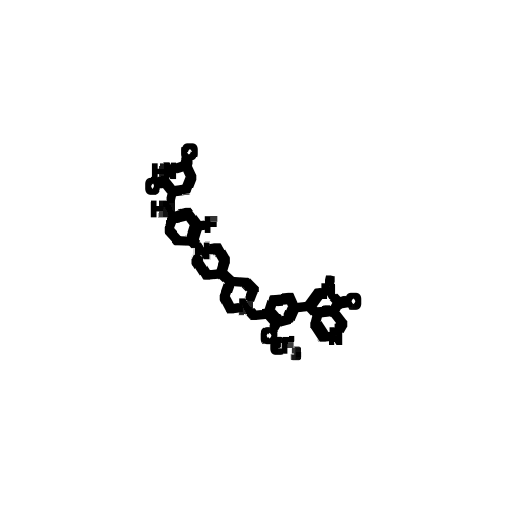 Cn1cc(-c2ccc(CN3CCC(C4CCN(C5=C(F)C=C(NC6CCC(=O)NC6=O)CC5)CC4)CC3)c(OC(F)(F)F)c2)c2ccncc2c1=O